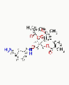 C=C(C)C(=O)OCC(CONCC1CCCC(CN)C1)(COC(=O)C(=C)C)COC(=O)C(=C)C